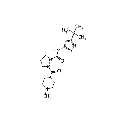 CN1CCC(C(=O)N2CCCN2C(=O)Nc2cc(C(C)(C)C)no2)CC1